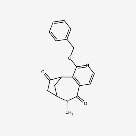 CN1C(=O)c2ccnc(OCc3ccccc3)c2C2CC1CC2=O